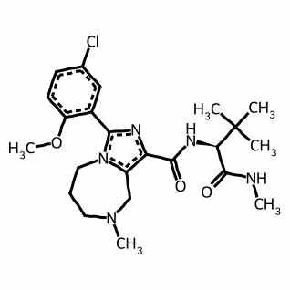 CNC(=O)[C@@H](NC(=O)c1nc(-c2cc(Cl)ccc2OC)n2c1CN(C)CCC2)C(C)(C)C